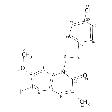 COc1cc2c(cc1I)cc(C)c(=O)n2CCc1ccc(Cl)cc1